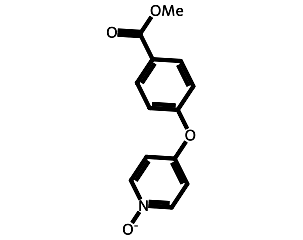 COC(=O)c1ccc(Oc2cc[n+]([O-])cc2)cc1